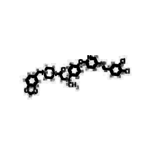 CN(CC(=O)N1CCN(Cc2ccc3c(c2)OCO3)CC1)c1ccc(Oc2ccc(N=Cc3ccc(Cl)c(Cl)c3)cn2)cc1